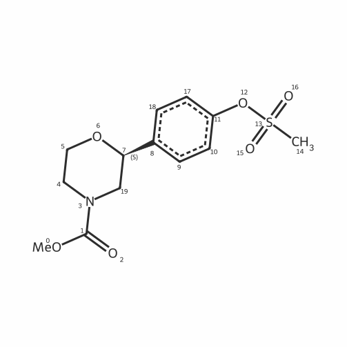 COC(=O)N1CCO[C@@H](c2ccc(OS(C)(=O)=O)cc2)C1